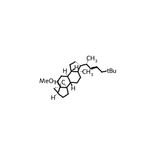 CO[C@@H]1C[C@H]2[C@@H]3CC[C@H]([C@H](C)C=CCC(C)(C)C)[C@@]3(C)CC[C@@H]2[C@@]2(C)CC[C@H]3C[C@]312